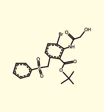 CC(C)(C)OC(=O)c1c(CS(=O)(=O)c2ccccc2)ccc(Br)c1NC(=O)CO